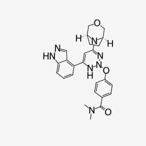 CN(C)C(=O)c1ccc(ON2N=C(N3[C@@H]4CC[C@H]3COC4)C=C(c3cccc4[nH]ncc34)N2)cc1